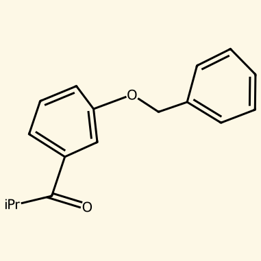 CC(C)C(=O)c1cccc(OCc2ccccc2)c1